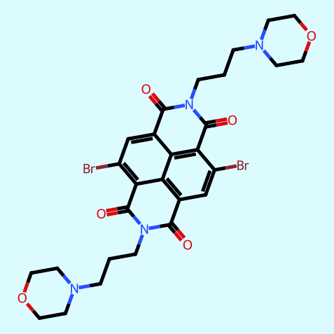 O=C1c2cc(Br)c3c4c(cc(Br)c(c24)C(=O)N1CCCN1CCOCC1)C(=O)N(CCCN1CCOCC1)C3=O